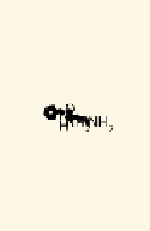 NCCCCC(N)C(=O)NCc1ccccc1